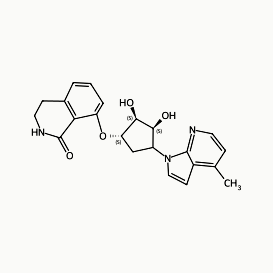 Cc1ccnc2c1ccn2C1C[C@H](Oc2cccc3c2C(=O)NCC3)[C@@H](O)[C@H]1O